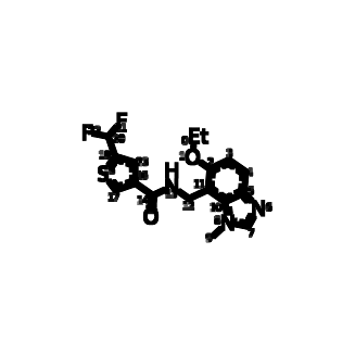 CCOc1ccc2ncn(C)c2c1CNC(=O)c1csc(C(F)F)c1